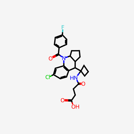 O=C(O)CCC(=O)NC1(C2c3ccc(Cl)cc3N(C(=O)c3ccc(F)cc3)C3CCCC32)CCC1